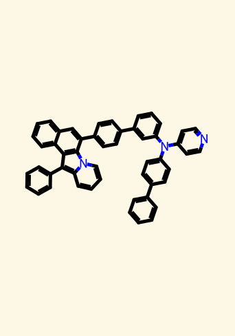 c1ccc(-c2ccc(N(c3ccncc3)c3cccc(-c4ccc(-c5cc6ccccc6c6c(-c7ccccc7)c7ccccn7c56)cc4)c3)cc2)cc1